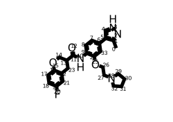 Cc1n[nH]cc1-c1ccc(NC(=O)C2COc3ccc(F)cc3C2)c(OCCN2CCCC2)c1